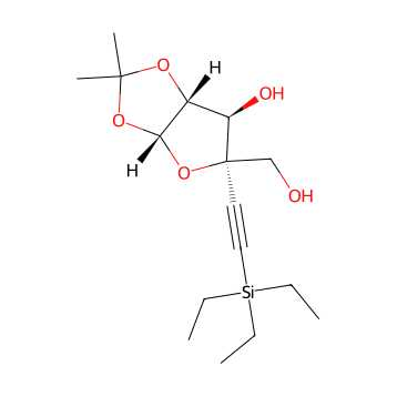 CC[Si](C#C[C@]1(CO)O[C@@H]2OC(C)(C)O[C@@H]2[C@H]1O)(CC)CC